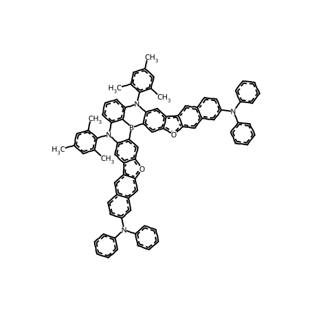 Cc1cc(C)c(N2c3cc4c(cc3B3c5cc6oc7cc8cc(N(c9ccccc9)c9ccccc9)ccc8cc7c6cc5N(c5c(C)cc(C)cc5C)c5cccc2c53)oc2cc3cc(N(c5ccccc5)c5ccccc5)ccc3cc24)c(C)c1